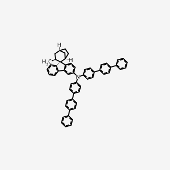 C[C@H]1C[C@H]2CC[C@H](C2)[C@]12c1ccccc1-c1cc(N(c3ccc(-c4ccc(-c5ccccc5)cc4)cc3)c3ccc(-c4ccc(-c5ccccc5)cc4)cc3)ccc12